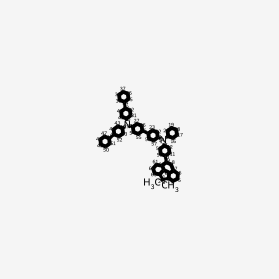 CC1(C)c2cccc3cc(-c4ccc(N(c5ccccc5)c5ccc(-c6ccc(N(c7ccc(-c8ccccc8)cc7)c7ccc(-c8ccccc8)cc7)cc6)cc5)cc4)c4cccc1c4c23